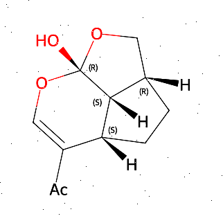 CC(=O)C1=CO[C@]2(O)OC[C@@H]3CC[C@H]1[C@@H]32